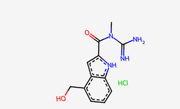 CN(C(=N)N)C(=O)c1cc2c(CO)cccc2[nH]1.Cl